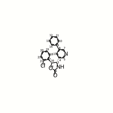 O=C1N[C@@H](c2cncc(-c3ccccc3)c2)[C@H](c2ccccc2Cl)O1